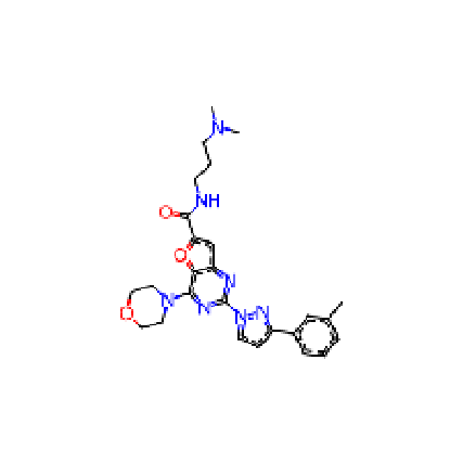 Cc1cccc(-c2ccn(-c3nc(N4CCOCC4)c4oc(C(=O)NCCCN(C)C)cc4n3)n2)c1